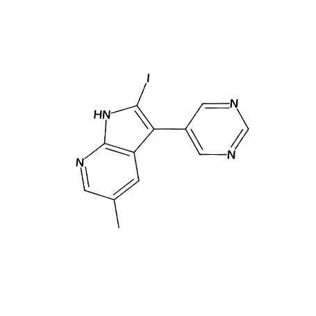 Cc1cnc2[nH]c(I)c(-c3cncnc3)c2c1